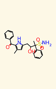 Cc1cc(CC(O)C(C)(c2ccccc2)S(N)(=O)=O)[nH]c1C(=O)c1ccccc1